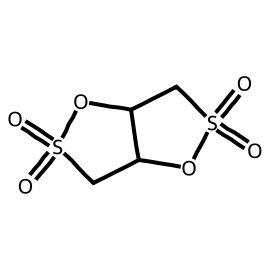 O=S1(=O)CC2OS(=O)(=O)CC2O1